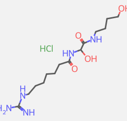 Cl.N=C(N)NCCCCCCC(=O)NC(O)C(=O)NCCCCO